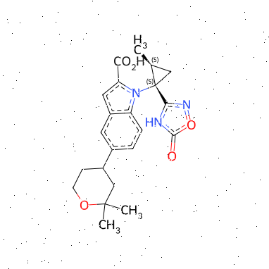 C[C@H]1C[C@]1(c1noc(=O)[nH]1)n1c(C(=O)O)cc2cc(C3CCOC(C)(C)C3)ccc21